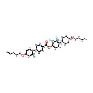 C=CCCCOc1ccc(-c2ccc(C(=O)Oc3ccc(C4CCC(OCCCC)CC4)c(F)c3F)cc2)c(F)c1